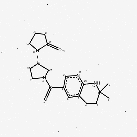 CC1(C)CCc2cc(C(=O)N3CC[C@H](N4CCCC4=O)C3)cnc2N1